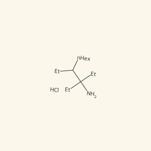 CCCCCCC(CC)C(N)(CC)CC.Cl